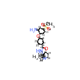 C[C@H]1[C@H](NC(=O)c2ccc(Oc3ccc(S(C)(=O)=O)cc3N)cc2)C2CCN1CC2